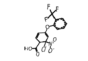 O=C(O)C1C=CC(Oc2ccccc2C(F)(F)F)=CC1(Cl)[N+](=O)[O-]